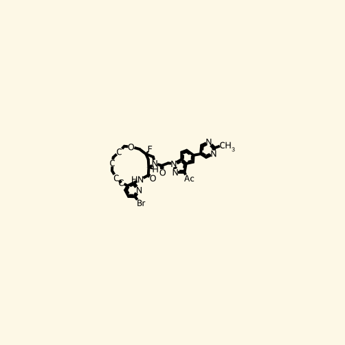 CC(=O)c1nn(CC(=O)N2C[C@@]3(F)COCCCCCCCc4ccc(Br)nc4NC(=O)[C@@H]2C3)c2ccc(-c3cnc(C)nc3)cc12